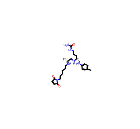 [CH2]c1ccc(NC[C@@H](CCCNC(N)=O)NC[C@H](NCCCCCCN2C(=O)C=CC2=O)C(C)C)cc1